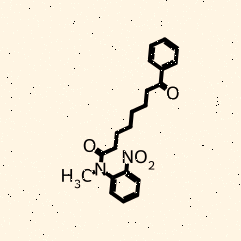 CN(C(=O)CCCCCCC(=O)c1ccccc1)c1ccccc1[N+](=O)[O-]